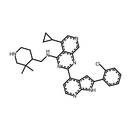 CC1(C)CNCCC1CNc1nc(-c2ccnc3[nH]c(-c4ccccc4Cl)cc23)nc2cncc(C3CC3)c12